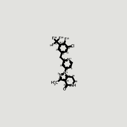 Cc1nn(-c2ccnc(Cc3cc(Cl)c(F)c(C(F)(F)F)c3)c2)c2c1C(=O)NCC2